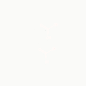 CCC.O=[PH](O)O.O=[PH](O)O